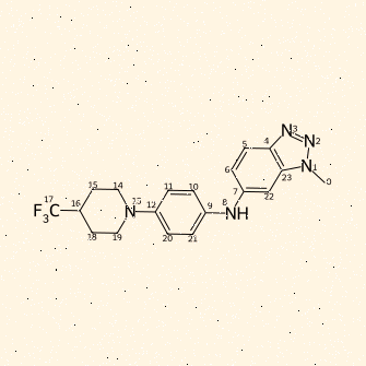 Cn1nnc2ccc(Nc3ccc(N4CCC(C(F)(F)F)CC4)cc3)cc21